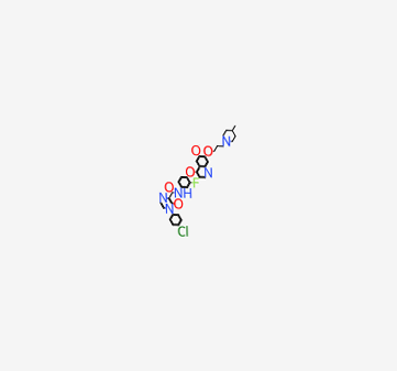 COc1cc2c(Oc3ccc(NC(=O)c4nccn(-c5ccc(Cl)cc5)c4=O)cc3F)ccnc2cc1OCCCN1CCC(C)CC1